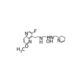 COc1ccc2ncc(F)c(CCNCC(O)CNCC3=NC=CCC3)c2n1